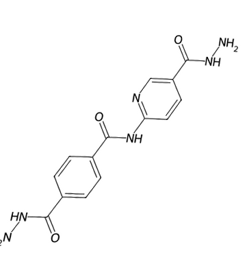 NNC(=O)c1ccc(C(=O)Nc2ccc(C(=O)NN)cn2)cc1